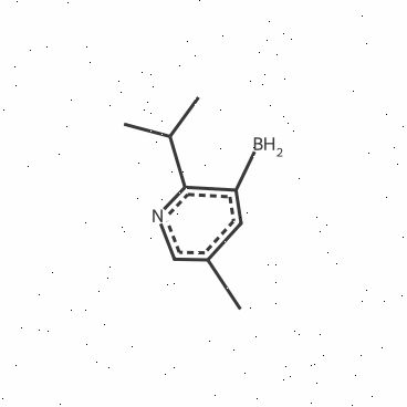 Bc1cc(C)cnc1C(C)C